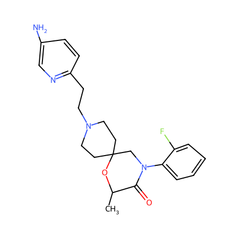 CC1OC2(CCN(CCc3ccc(N)cn3)CC2)CN(c2ccccc2F)C1=O